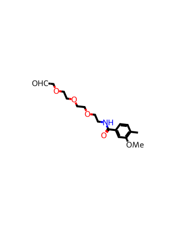 COc1cc(C(=O)NCCOCCOCCOCC=O)ccc1C